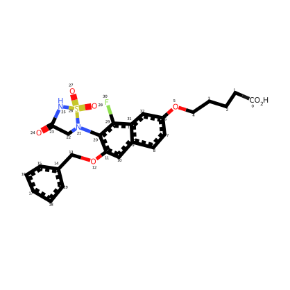 O=C(O)CCCCOc1ccc2cc(OCc3ccccc3)c(N3CC(=O)NS3(=O)=O)c(F)c2c1